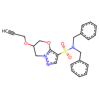 C#CCOC1COc2c(S(=O)(=O)N(Cc3ccccc3)Cc3ccccc3)cnn2C1